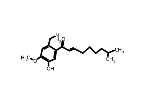 COc1cc(CN)c(C(=O)C=CCCCCC(C)C)cc1O